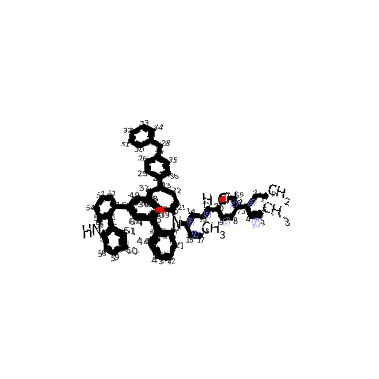 C=C/C=C(\C=C/C)C(/C=C\C(C)/C=C/C=C(\C=C/C)N(C1=CC=C(c2ccc(Cc3ccccc3)cc2)CC=C1)c1ccccc1-c1cccc(-c2cccc3[nH]c4ccccc4c23)c1)=C/C